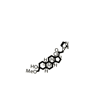 COC[C@@]1(O)CC[C@H]2[C@@H](CC[C@@H]3[C@@H]2CC[C@]2(C)[C@@H](C(=O)Cn4ccnn4)CC[C@@H]32)C1